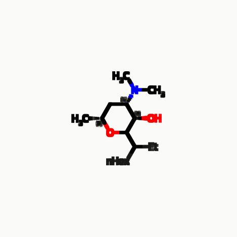 CCCCCCC(CC)C1O[C@H](C)C[C@H](N(C)C)[C@H]1O